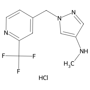 CNc1cnn(Cc2ccnc(C(F)(F)F)c2)c1.Cl